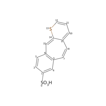 O=S(=O)(O)c1ccc2c(c1)C=CC1=CC=CSC1=C2